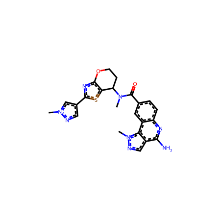 CN(C(=O)c1ccc2nc(N)c3cnn(C)c3c2c1)C1CCOc2nc(-c3cnn(C)c3)sc21